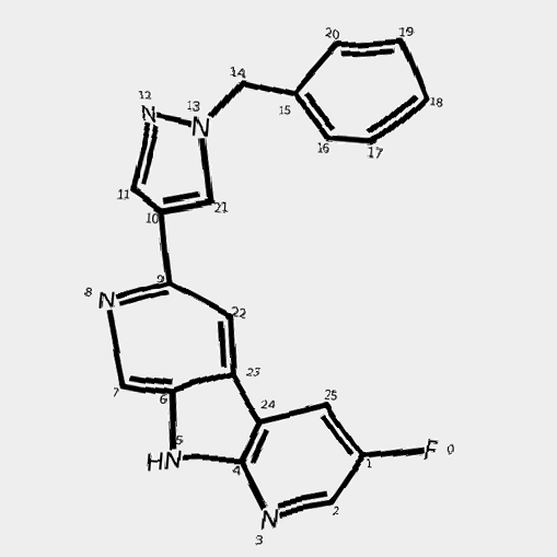 Fc1cnc2[nH]c3cnc(-c4cnn(Cc5ccccc5)c4)cc3c2c1